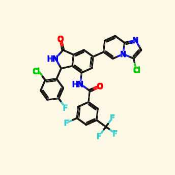 O=C(Nc1cc(-c2ccc3ncc(Cl)n3c2)cc2c1C(c1cc(F)ccc1Cl)NC2=O)c1cc(F)cc(C(F)(F)F)c1